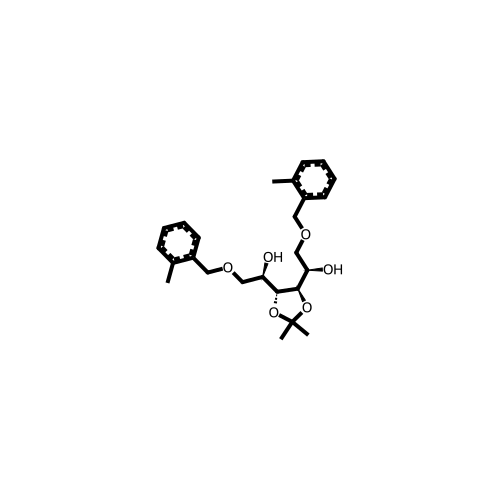 Cc1ccccc1COC[C@@H](O)[C@H]1OC(C)(C)O[C@@H]1[C@H](O)COCc1ccccc1C